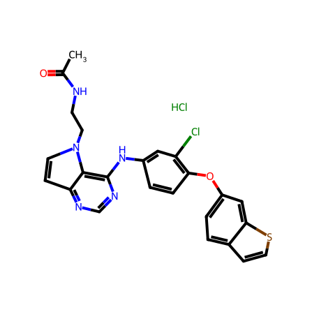 CC(=O)NCCn1ccc2ncnc(Nc3ccc(Oc4ccc5ccsc5c4)c(Cl)c3)c21.Cl